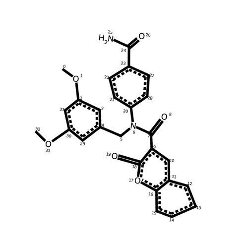 COc1cc(CN(C(=O)c2cc3ccccc3oc2=O)c2ccc(C(N)=O)cc2)cc(OC)c1